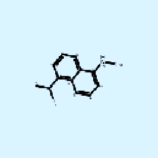 CC(I)c1cccc2c(NI)cccc12